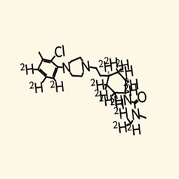 [2H]c1c([2H])c(C)c(Cl)c(N2CCN(CC[C@]3([2H])C([2H])([2H])C([2H])([2H])[C@@]([2H])(NC(=O)N(C)C([2H])([2H])[2H])C([2H])([2H])C3([2H])[2H])CC2)c1[2H]